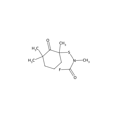 CN(SC1(C)CCCC(C)(C)C1=O)C(=O)F